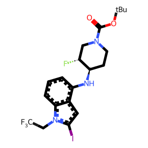 CC(C)(C)OC(=O)N1CC[C@@H](Nc2cccc3c2cc(I)n3CC(F)(F)F)[C@H](F)C1